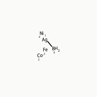 [BH2][Ag].[Co].[Fe].[Ni]